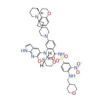 O=C(NS(=O)(=O)c1ccc(NCC2CCOCC2)c([N+](=O)[O-])c1)c1ccc(N2CCC3(CC2)CC(N2CCCC[C@]24CCOc2ccccc24)C3)cc1N1c2cc3cc[nH]c3nc2O[C@H]2CCOC[C@H]21